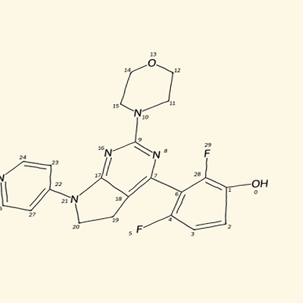 Oc1ccc(F)c(-c2nc(N3CCOCC3)nc3c2CCN3c2ccncc2)c1F